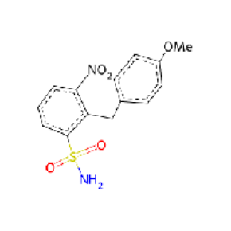 COc1ccc(Cc2c([N+](=O)[O-])cccc2S(N)(=O)=O)cc1